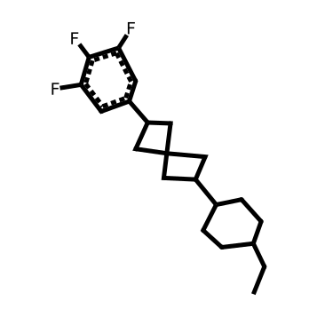 CCC1CCC(C2CC3(CC(c4cc(F)c(F)c(F)c4)C3)C2)CC1